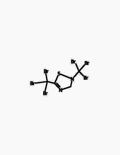 BrC(Br)(Br)C1=NCN(C(Br)(Br)Br)S1